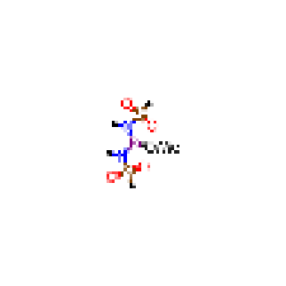 COP(N(C)S(C)(=O)=O)N(C)S(C)(=O)=O